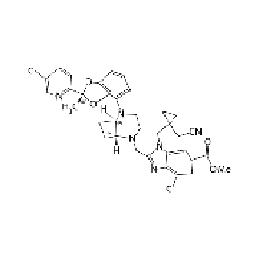 COC(=O)c1cc(Cl)c2nc(CN3CCN(c4cccc5c4O[C@](C)(c4ccc(Cl)cn4)O5)[C@@H]4CC[C@H]43)n(CC3(CC#N)CC3)c2c1